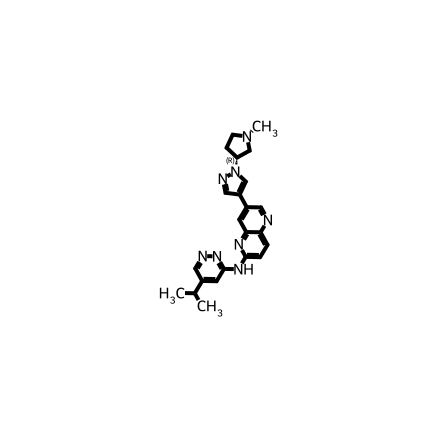 CC(C)c1cnnc(Nc2ccc3ncc(-c4cnn([C@@H]5CCN(C)C5)c4)cc3n2)c1